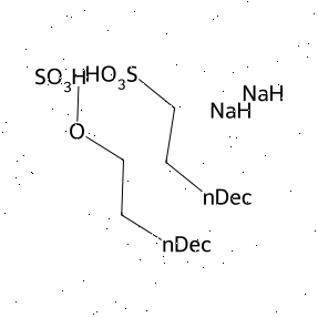 CCCCCCCCCCCCOS(=O)(=O)O.CCCCCCCCCCCCS(=O)(=O)O.[NaH].[NaH]